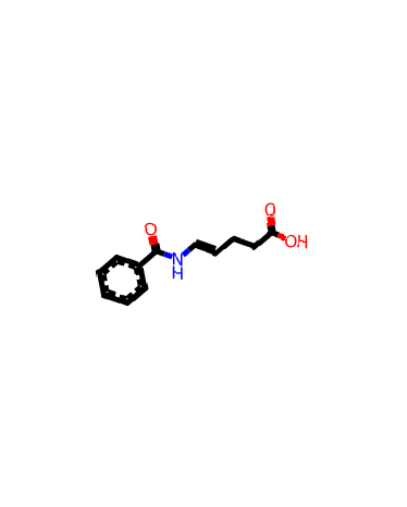 O=C(O)CCC=CNC(=O)c1ccccc1